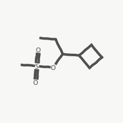 CCC(OS(C)(=O)=O)C1CCC1